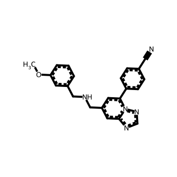 COc1cccc(CNCc2cc(-c3ccc(C#N)cc3)n3ncnc3c2)c1